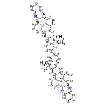 CC1(C)c2cc(-c3cccc(-c4nc5ccccc5nc4-c4ccccc4)c3)ccc2-c2ccc(-c3ccc4c(c3)C(C)(C)c3cc(-c5cccc(-c6nc7ccccc7nc6-c6ccccc6)c5)ccc3-4)cc21